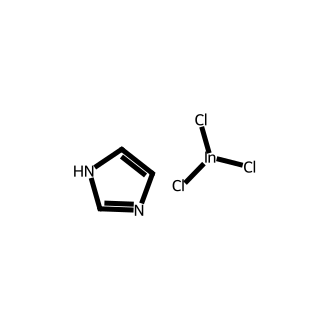 [Cl][In]([Cl])[Cl].c1c[nH]cn1